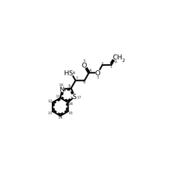 C=CCOC(=O)CC(S)c1nc2ccccc2s1